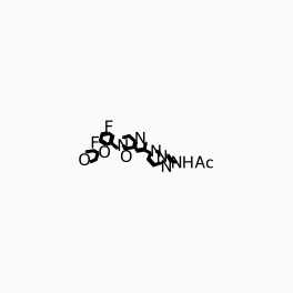 CC(=O)Nc1cn2nc(-c3cnc4c(c3)C(=O)N(Cc3cc(F)cc(F)c3OC3CCOCC3)CC4)ccc2n1